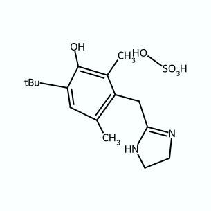 Cc1cc(C(C)(C)C)c(O)c(C)c1CC1=NCCN1.O=S(=O)(O)O